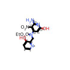 CCOC(=O)N(Cc1ncccc1O)c1cc(O)nc(N)c1[N+](=O)[O-]